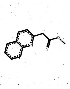 COC(=S)Cc1ccc2ccccc2n1